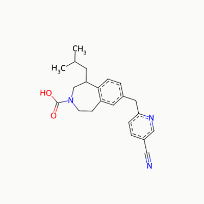 CC(C)CC1CN(C(=O)O)CCc2cc(Cc3ccc(C#N)cn3)ccc21